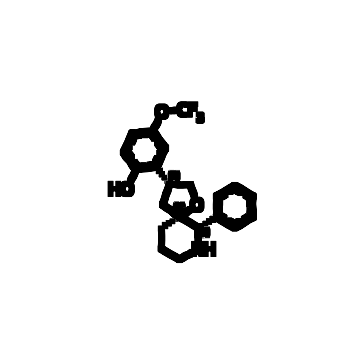 Oc1ccc(OC(F)(F)F)cc1[C@@H]1CO[C@]2(CCCN[C@H]2c2ccccc2)C1